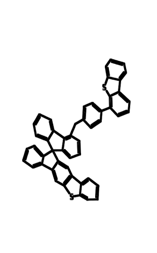 c1ccc2c(c1)-c1cc3sc4ccccc4c3cc1C21c2ccccc2-c2c(Cc3ccc(-c4cccc5c4sc4ccccc45)cc3)cccc21